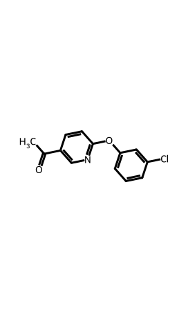 CC(=O)c1ccc(Oc2cccc(Cl)c2)nc1